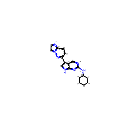 c1cn2nc(-c3c[nH]c4nc(NC5CCCCC5)ncc34)ccc2n1